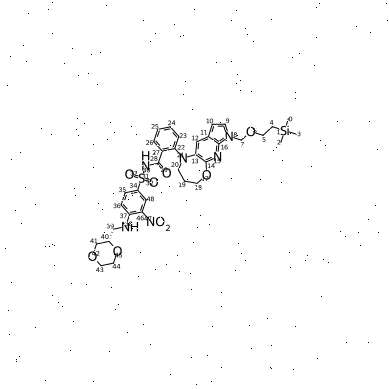 C[Si](C)(C)CCOCn1ccc2cc3c(nc21)OCCCN3c1ccccc1C(=O)NS(=O)(=O)c1ccc(NC[C@H]2COCCO2)c([N+](=O)[O-])c1